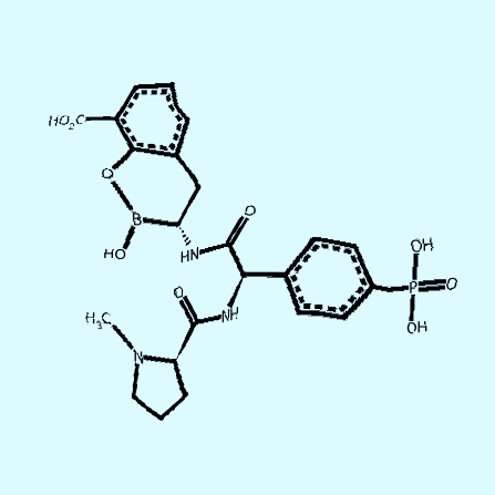 CN1CCC[C@@H]1C(=O)N[C@@H](C(=O)N[C@H]1Cc2cccc(C(=O)O)c2OB1O)c1ccc(P(=O)(O)O)cc1